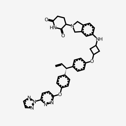 C=C[C@@H](c1ccc(Oc2ccc(-n3nccn3)nn2)cc1)c1ccc(OC2CC(Nc3ccc4c(c3)CN(C3CCC(=O)NC3=O)C4)C2)cc1